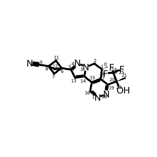 C[C@H]1Cn2nc(C34CC(C#N)(C3)C4)cc2-c2cnnc([C@@](C)(O)C(F)(F)F)c21